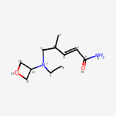 CCN(CC(C)C=CC(N)=O)C1COC1